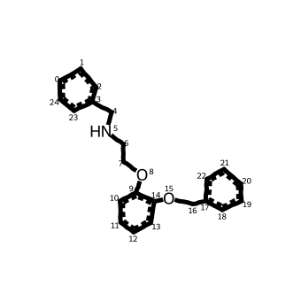 c1ccc(CNCCOc2ccccc2OCc2ccccc2)cc1